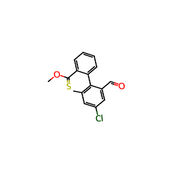 COC(=S)c1ccccc1-c1c(C)cc(Cl)cc1C=O